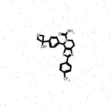 NC(=O)N1CCc2nc(-c3ccc(C(F)(F)F)cc3)sc2C1c1ccc(C2(O)COC2)cc1